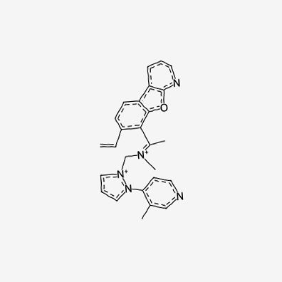 C=Cc1ccc2c(oc3ncccc32)c1/C(C)=[N+](/C)C[n+]1cccn1-c1ccncc1C